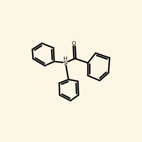 O=C(c1ccccc1)[SiH](c1ccccc1)c1ccccc1